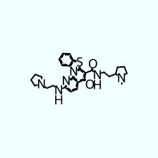 CN1CCCC1CCNC(=O)c1c(=O)c2ccc(NCCN3CCCC3)nc2n2c1sc1ccccc12